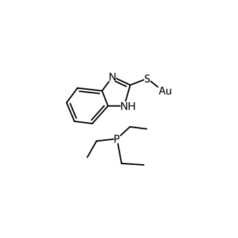 CCP(CC)CC.[Au][S]c1nc2ccccc2[nH]1